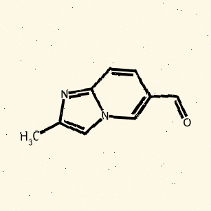 Cc1cn2cc(C=O)ccc2n1